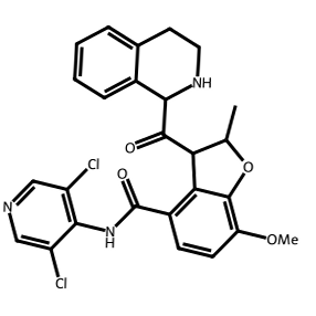 COc1ccc(C(=O)Nc2c(Cl)cncc2Cl)c2c1OC(C)C2C(=O)C1NCCc2ccccc21